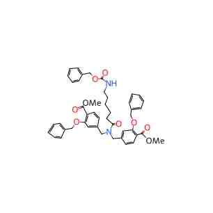 COC(=O)c1ccc(CN(Cc2ccc(C(=O)OC)c(OCc3ccccc3)c2)C(=O)CCCCCNC(=O)OCc2ccccc2)cc1OCc1ccccc1